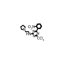 O=[N+]([O-])c1ccccc1-c1nc(NCCN2CCCC2)nc(C(Cl)(Cl)Cl)n1